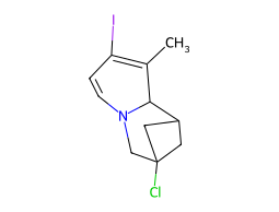 CC1=C(I)C=CN2CC3(Cl)CC(C3)C12